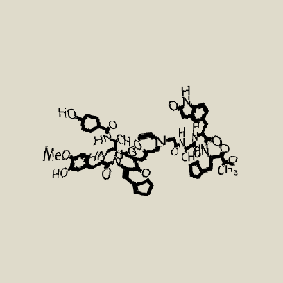 COc1ccc(CC(NC(=O)C(C)NC(=O)C2CCC(O)CC2)C(=O)NC(CC2CCCC2)C(=O)C2(CC3CN(CC(=O)NC(C)C(=O)NC(Cc4ccc5c(c4)CC(=O)N5)C(=O)NC(CC4CCCC4)C(=O)C4(C)CO4)CCO3)CO2)cc1O